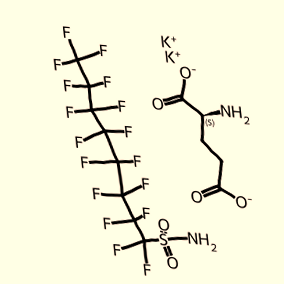 NS(=O)(=O)C(F)(F)C(F)(F)C(F)(F)C(F)(F)C(F)(F)C(F)(F)C(F)(F)C(F)(F)F.N[C@@H](CCC(=O)[O-])C(=O)[O-].[K+].[K+]